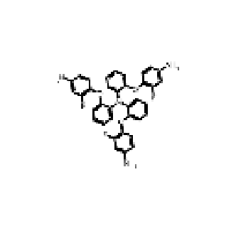 Nc1ccc(Oc2ccccc2N(c2ccccc2Oc2ccc(N)cc2F)c2ccccc2Oc2ccc(N)cc2F)c(F)c1